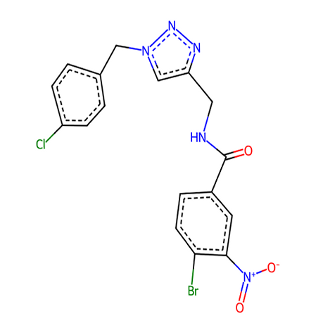 O=C(NCc1cn(Cc2ccc(Cl)cc2)nn1)c1ccc(Br)c([N+](=O)[O-])c1